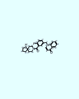 O=C(c1cc(Cn2ccc(=O)c3ccccc32)ccc1F)N1CCC2(CCCN2)CC1